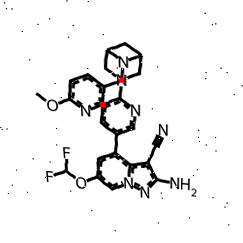 COc1ccc(CN2C3CC2CN(c2ccc(-c4cc(OC(F)F)cn5nc(N)c(C#N)c45)cn2)C3)cn1